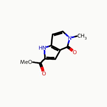 COC(=O)c1cc2c(=O)n(C)ccc2[nH]1